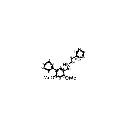 COc1cc(OC)c(-c2ccccc2)cc1CNCCc1cccnc1